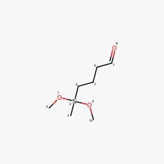 CO[Si](C)(CCCC=O)OC